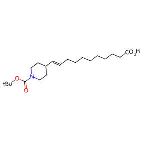 CC(C)(C)OC(=O)N1CCC(/C=C/CCCCCCCCC(=O)O)CC1